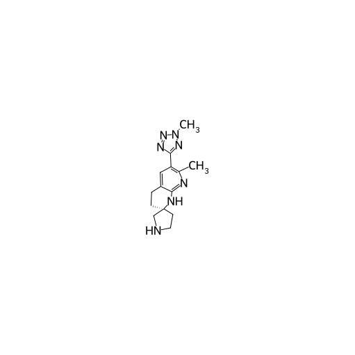 Cc1nc2c(cc1-c1nnn(C)n1)CC[C@@]1(CCNC1)N2